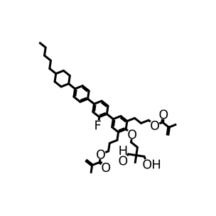 C=C(C)C(=O)OCCCc1cc(-c2ccc(-c3ccc(C4CCC(CCCCC)CC4)cc3)cc2F)cc(CCCOC(=O)C(=C)C)c1OCCC(C)(CO)CO